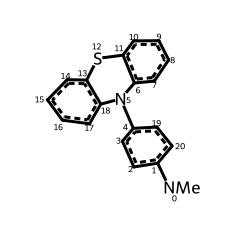 CNc1ccc(N2c3ccccc3Sc3ccccc32)cc1